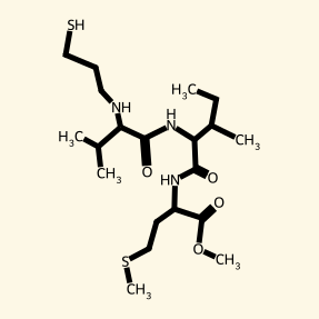 CCC(C)C(NC(=O)C(NCCCS)C(C)C)C(=O)NC(CCSC)C(=O)OC